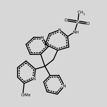 COc1cccc(C(Cc2ccnc(NS(C)(=O)=O)c2)(c2cccnc2)c2cccnc2)n1